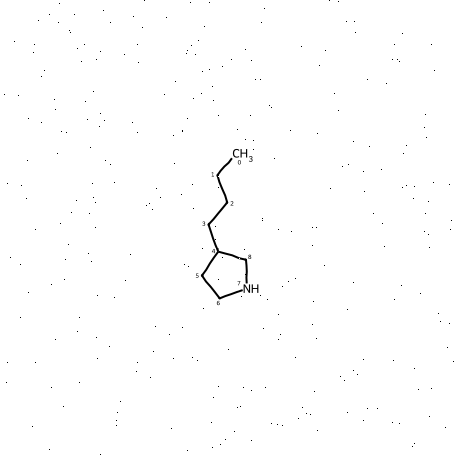 CCCC[C]1CCNC1